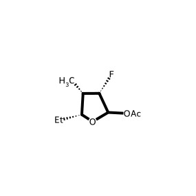 CC[C@H]1OC(OC(C)=O)[C@@H](F)[C@H]1C